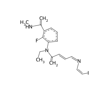 C=C(NC)c1cccc(N(CC)C(=C)/C=C/C=N\C=C/I)c1F